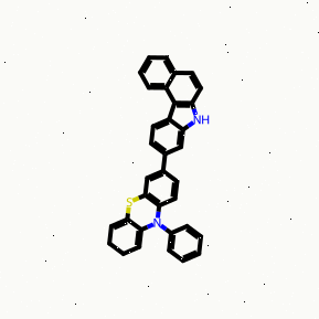 C1=C2Sc3cc(-c4ccc5c(c4)[nH]c4ccc6ccccc6c45)ccc3N(c3ccccc3)C2=CCC1